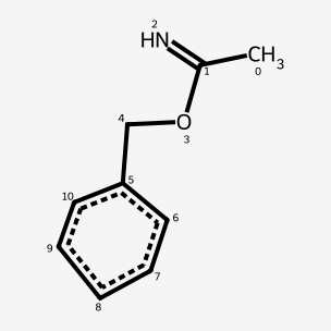 CC(=N)OCc1ccccc1